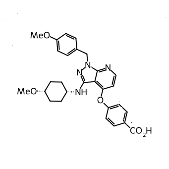 COc1ccc(Cn2nc(N[C@H]3CC[C@@H](OC)CC3)c3c(Oc4ccc(C(=O)O)cc4)ccnc32)cc1